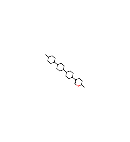 CC1CCC(C2CCC(C3CCC(C4=COC(C)CC4)CC3)CC2)CC1